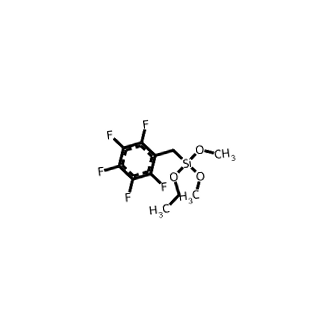 CCO[Si](Cc1c(F)c(F)c(F)c(F)c1F)(OC)OC